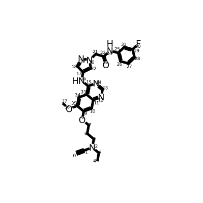 C#CN(CC)CCCOc1cc2ncnc(Nc3cnn(CC(=O)Nc4cccc(F)c4)c3)c2cc1OC